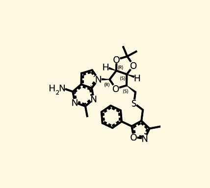 Cc1nc(N)c2ccn([C@@H]3O[C@H](CSCc4c(C)noc4-c4ccccc4)[C@H]4OC(C)(C)O[C@H]43)c2n1